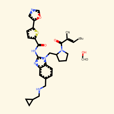 CC(C)(C)C=C(C#N)C(=O)N1CCCC1Cn1c(NC(=O)c2ccc(-c3cnco3)s2)nc2cc(CNCC3CC3)ccc21.O=CO